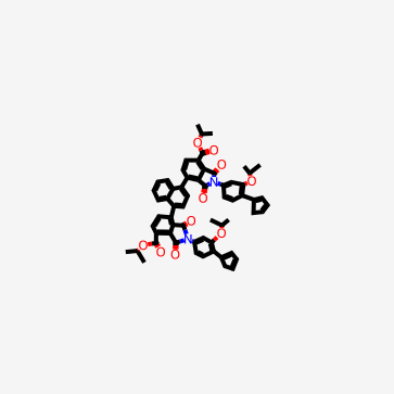 CC(C)OC(=O)c1ccc(-c2ccc(-c3ccc(C(=O)OC(C)C)c4c3C(=O)N(c3ccc(C5=CC=CC5)c(OC(C)C)c3)C4=O)c3ccccc23)c2c1C(=O)N(c1ccc(C3=CC=CC3)c(OC(C)C)c1)C2=O